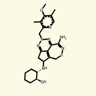 COc1c(C)cnc(CN2N=C3CC(N[C@H]4CCCC[C@@H]4O)C4=C3C(=N2)C(N)=NSC4)c1C